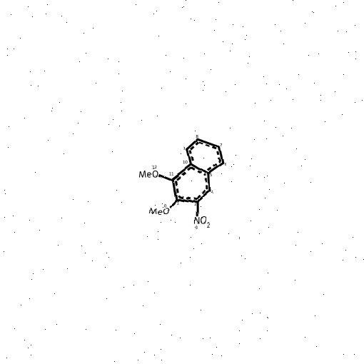 COc1c([N+](=O)[O-])cc2ccccc2c1OC